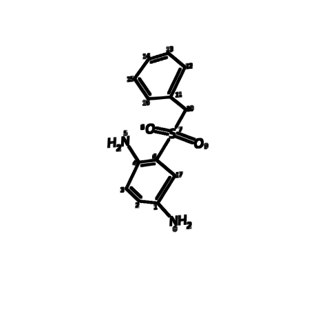 Nc1ccc(N)c(S(=O)(=O)Cc2ccccc2)c1